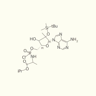 CC(C)OC(=O)C(C)NP(=O)(Cl)OC[C@H]1O[C@@H](n2cnc3c(N)ncnc32)C(C)(O[Si](C)(C)C(C)(C)C)C1O